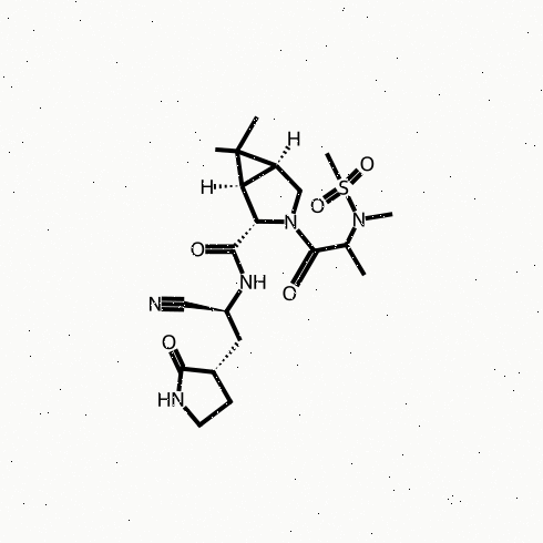 CC(C(=O)N1C[C@H]2[C@@H]([C@H]1C(=O)N[C@H](C#N)C[C@@H]1CCNC1=O)C2(C)C)N(C)S(C)(=O)=O